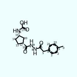 Cc1ccc(CC(=O)NNC(=O)[C@H]2CC[C@H](NC(=O)O)C2)cc1